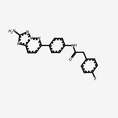 Nc1nc2ccc(-c3ccc(NC(=O)Cc4ccc(F)cc4)cc3)nn2n1